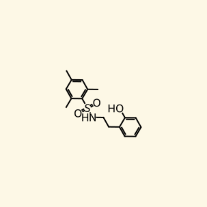 Cc1cc(C)c(S(=O)(=O)NCCc2ccccc2O)c(C)c1